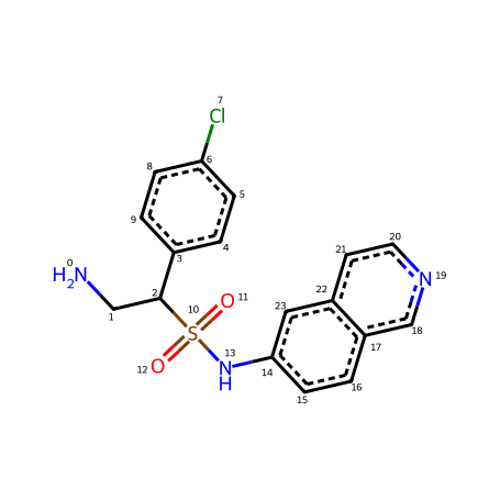 NCC(c1ccc(Cl)cc1)S(=O)(=O)Nc1ccc2cnccc2c1